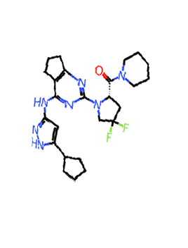 O=C([C@@H]1CC(F)(F)CN1c1nc2c(c(Nc3cc(C4CCCC4)[nH]n3)n1)CCC2)N1CCCCC1